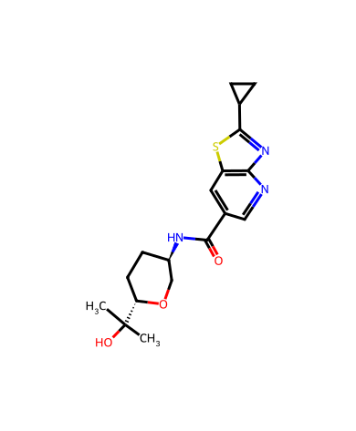 CC(C)(O)[C@@H]1CC[C@@H](NC(=O)c2cnc3nc(C4CC4)sc3c2)CO1